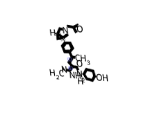 C=N/C(N)=C(\C=C(/C)c1ccc([C@]23C[C@H]2CN(CC2COC2)C3)cc1)C(=O)N[C@H]1CC[C@H](O)CC1